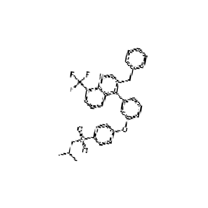 CC(C)CS(=O)(=O)c1ccc(Oc2cccc(-c3c(Cc4ccccc4)cnc4c(C(F)(F)F)cccc34)c2)cc1